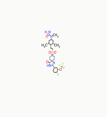 Cc1cc(N(C)C(N)=O)cc(C)c1C=CS(=O)(=O)N1CCC2(CC1)N=C(c1ccc(F)c(OC(F)(F)F)c1)NC2=O